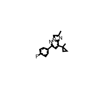 Cc1cn2nc(-c3ccc(F)cc3)cc(C3(C)CC3)c2n1